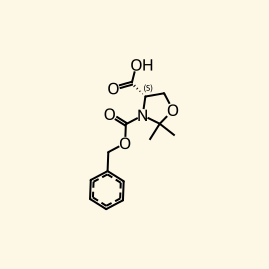 CC1(C)OC[C@@H](C(=O)O)N1C(=O)OCc1ccccc1